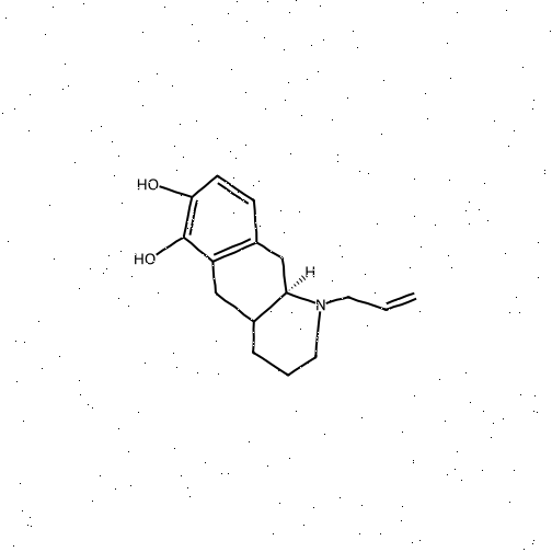 C=CCN1CCCC2Cc3c(ccc(O)c3O)C[C@H]21